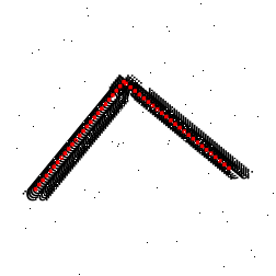 [Cu].[Cu].[Cu].[Cu].[Cu].[Cu].[Cu].[Cu].[Cu].[Cu].[Cu].[Cu].[Cu].[Cu].[Cu].[Cu].[Cu].[Cu].[Cu].[Cu].[Cu].[Cu].[Cu].[Cu].[Cu].[Cu].[Cu].[Cu].[Cu].[Cu].[Cu].[Cu].[Cu].[Cu].[Cu].[Cu].[Cu].[Cu].[Cu].[Cu].[Cu].[Cu].[Cu].[Cu].[Cu].[Cu].[Cu].[Cu].[Cu].[Cu].[Cu].[Cu].[Cu].[Cu].[Cu].[Cu].[Cu].[Cu].[Cu].[Cu].[Cu].[Cu].[Cu].[Cu].[Cu].[Cu].[Cu].[Cu].[Cu].[Cu].[Cu].[Cu].[Cu].[Cu].[Cu].[Cu].[Cu].[Cu].[Cu].[Cu].[Cu].[Cu].[Cu].[Cu].[Cu].[Cu].[Cu].[Cu].[Cu].[Cu].[Ni].[Ni].[Ni].[Ni].[Ni].[Ni].[Ni].[Ni].[Ni].[Ni]